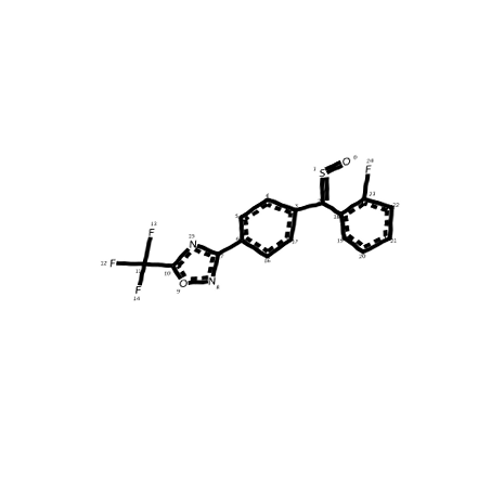 O=S=C(c1ccc(-c2noc(C(F)(F)F)n2)cc1)c1ccccc1F